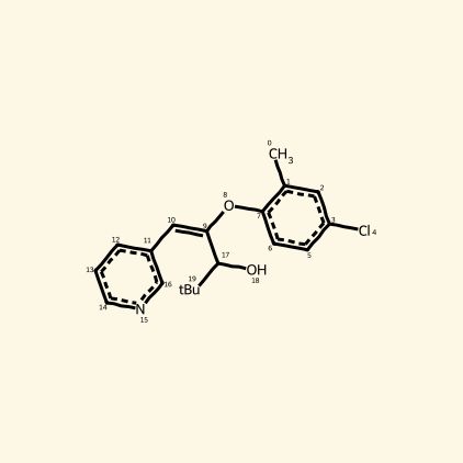 Cc1cc(Cl)ccc1O/C(=C/c1cccnc1)C(O)C(C)(C)C